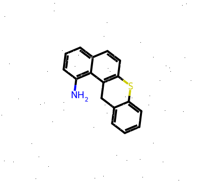 Nc1cccc2ccc3c(c12)Cc1ccccc1S3